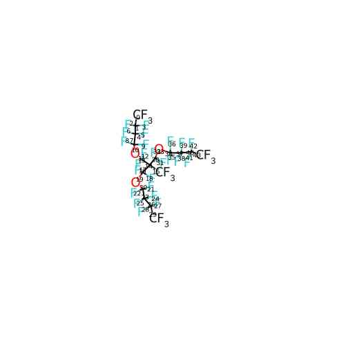 FC(F)(F)C(F)(F)C(F)(F)C(F)(F)OC(F)(F)C(C(F)(F)F)(C(F)(F)OC(F)(F)C(F)(F)C(F)(F)C(F)(F)F)C(F)(F)OC(F)(F)C(F)(F)C(F)(F)C(F)(F)F